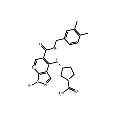 CCn1ncc2c(N[C@@H]3CCN(C(N)=O)C3)c(C(=O)NCc3ccc(C)c(C)c3)cnc21